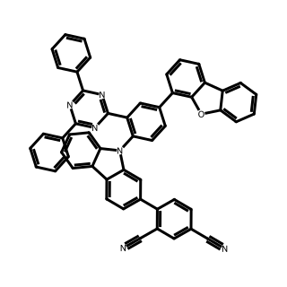 N#Cc1ccc(-c2ccc3c4ccccc4n(-c4ccc(-c5cccc6c5oc5ccccc56)cc4-c4nc(-c5ccccc5)nc(-c5ccccc5)n4)c3c2)c(C#N)c1